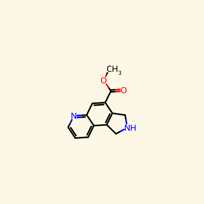 COC(=O)c1cc2ncccc2c2c1CNC2